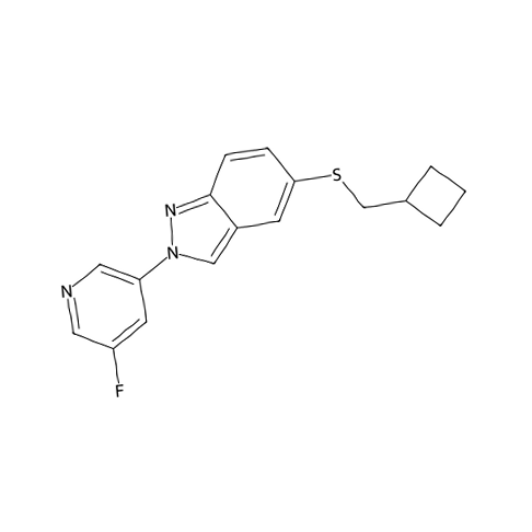 Fc1cncc(-n2cc3cc(SCC4CCC4)ccc3n2)c1